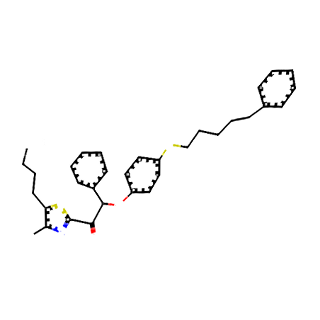 Cc1nc(C(=O)C(Oc2ccc(SCCCCCc3ccccc3)cc2)c2ccccc2)sc1CCCC(=O)O